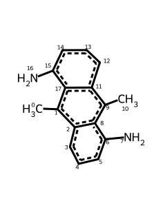 Cc1c2cccc(N)c2c(C)c2cccc(N)c12